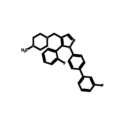 CN1CCN(Cc2cnn(-c3ccc(-c4cccc(F)c4)cc3)c2-c2ccccc2F)CC1